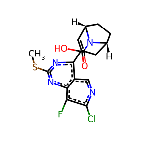 CSc1nc(C2=C[C@@H]3CC[C@H](C2)N3C(=O)O)c2cnc(Cl)c(F)c2n1